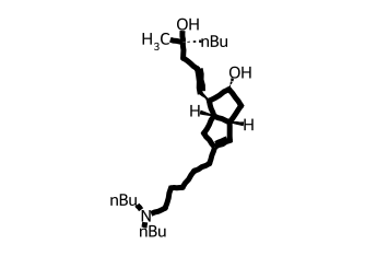 CCCCN(CCCC)CCCCCC1=C[C@H]2C[C@@H](O)[C@H](/C=C/C[C@@](C)(O)CCCC)[C@H]2C1